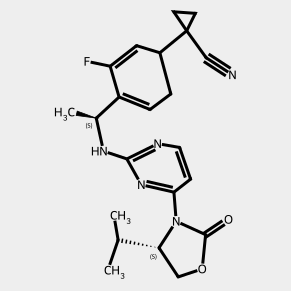 CC(C)[C@H]1COC(=O)N1c1ccnc(N[C@@H](C)C2=CCC(C3(C#N)CC3)C=C2F)n1